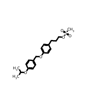 CC(C)Oc1ccc(COc2ccc(CCCOS(C)(=O)=O)cc2)cc1